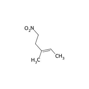 CC=C(C)CC[N+](=O)[O-]